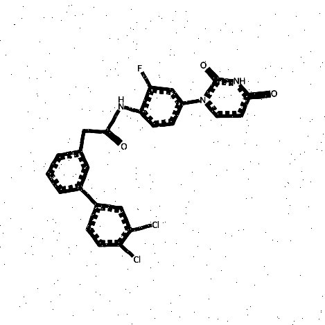 O=C(Cc1cccc(-c2ccc(Cl)c(Cl)c2)c1)Nc1ccc(-n2ccc(=O)[nH]c2=O)cc1F